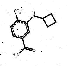 NC(=O)c1ccc(C(=O)O)c(NC2CCC2)c1